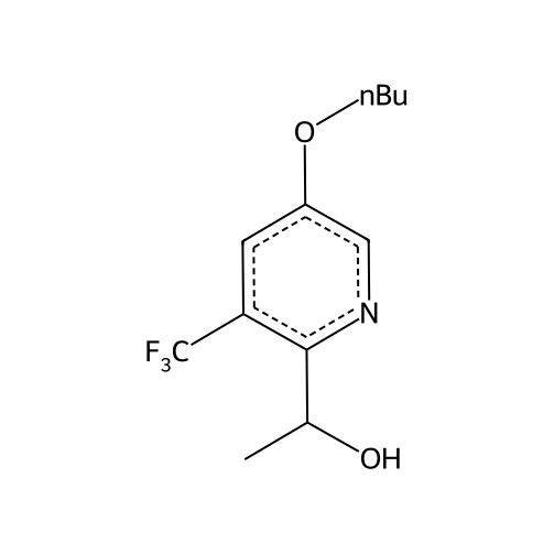 CCCCOc1cnc(C(C)O)c(C(F)(F)F)c1